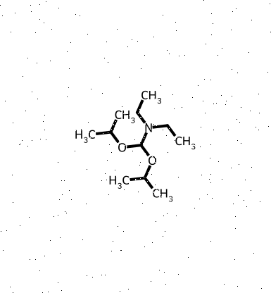 CCN(CC)C(OC(C)C)OC(C)C